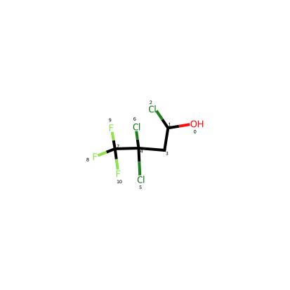 OC(Cl)CC(Cl)(Cl)C(F)(F)F